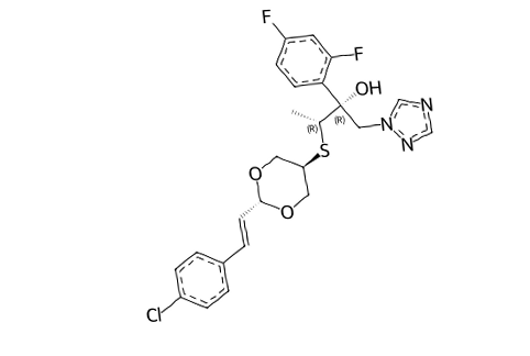 C[C@@H](S[C@H]1CO[C@H](C=Cc2ccc(Cl)cc2)OC1)[C@](O)(Cn1cncn1)c1ccc(F)cc1F